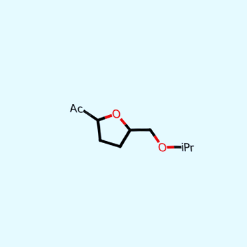 CC(=O)C1CCC(COC(C)C)O1